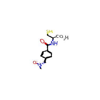 C[N+]([O-])=Cc1ccc(C(=O)N[C@@H](CS)C(=O)O)cc1